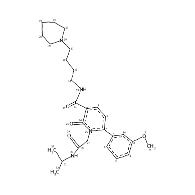 COc1cccc(-c2ccc(C(=O)NCCCCN3CCCCC3)c(=O)n2CC(=O)NC(C)C)c1